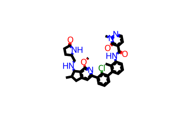 COc1nc(-c2cccc(-c3cccc(NC(=O)c4ccnn(C)c4=O)c3C)c2Cl)cc2c1C(NCC1CCC(=O)N1)C(C)C2